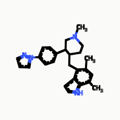 Cc1cc(C)c2[nH]ccc2c1CC1CCN(C)CC1c1ccc(-n2cccn2)cc1